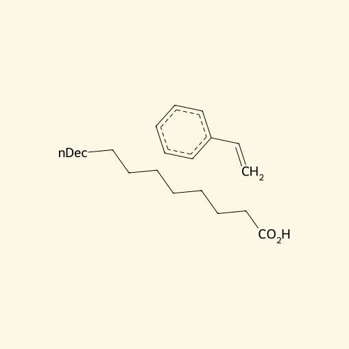 C=Cc1ccccc1.CCCCCCCCCCCCCCCCCC(=O)O